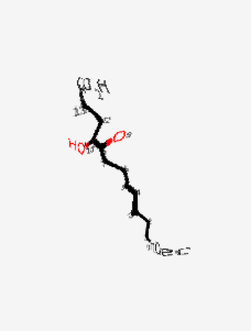 CCCCCCCCCCCCCCCCCC(=O)C(O)CCC(=O)O